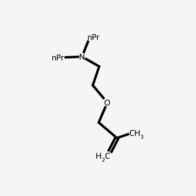 C=C(C)COCCN(CCC)CCC